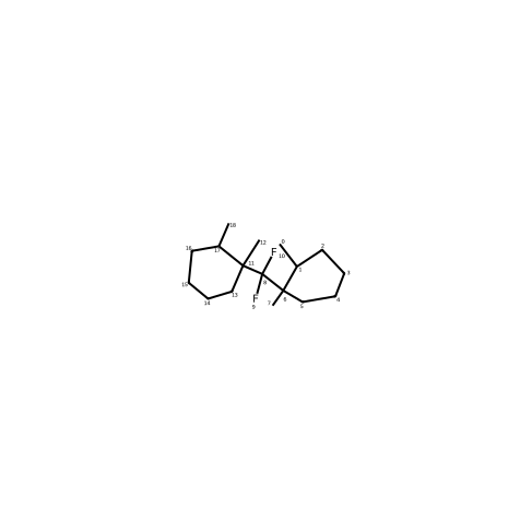 CC1CCCCC1(C)C(F)(F)C1(C)CCCCC1C